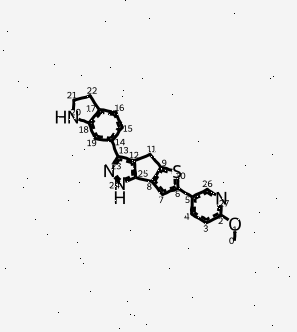 COc1ccc(-c2cc3c(s2)Cc2c(-c4ccc5c(c4)NCC5)n[nH]c2-3)cn1